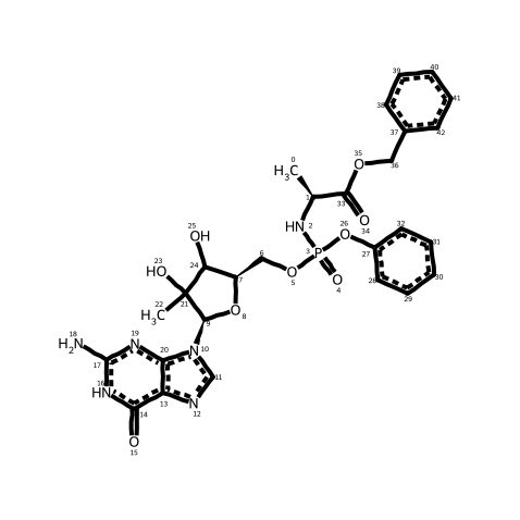 C[C@H](NP(=O)(OC[C@H]1O[C@@H](n2cnc3c(=O)[nH]c(N)nc32)C(C)(O)C1O)Oc1ccccc1)C(=O)OCc1ccccc1